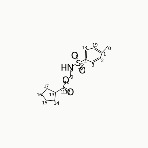 Cc1ccc(S(=O)(=O)NCOC(=O)C2CCCC2)cc1